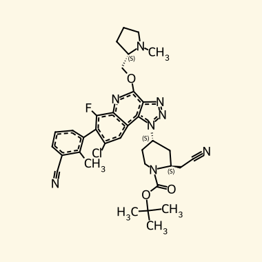 Cc1c(C#N)cccc1-c1c(Cl)cc2c(nc(OC[C@@H]3CCCN3C)c3nnn([C@H]4CCN(C(=O)OC(C)(C)C)[C@H](CC#N)C4)c32)c1F